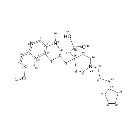 COc1ccc2ncc(N(C)C)c(CCCC3(CC(=O)O)CCN(CCSC4CCCC4)CC3)c2c1